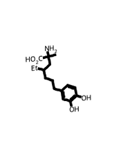 CCC(CCCc1ccc(O)c(O)c1)CC(C)(N)C(=O)O